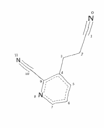 N#CCCc1cccnc1C#N